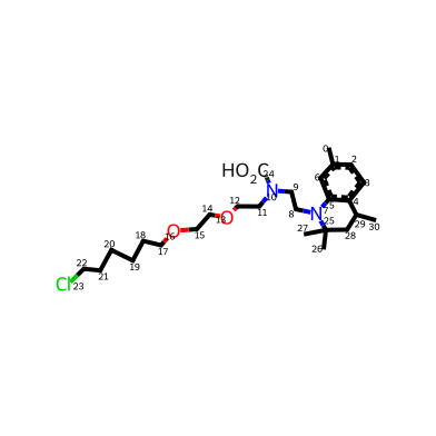 Cc1ccc2c(c1)N(CCN(CCOCCOCCCCCCCl)C(=O)O)C(C)(C)CC2C